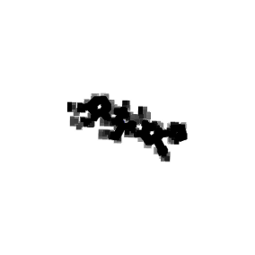 Cc1nc(-n2nccn2)c(C#N)cc1NC(=O)/C(C=N)=C(/Nc1cccc(N)c1SN)C(F)(F)F